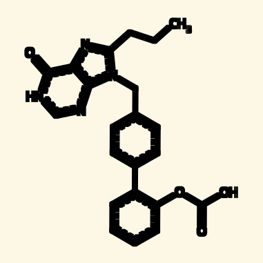 CCCc1nc2c(=O)[nH]cnc2n1Cc1ccc(-c2ccccc2OC(=O)O)cc1